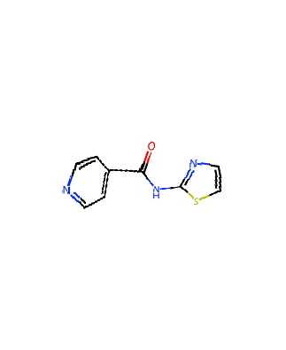 O=C(Nc1nccs1)c1ccncc1